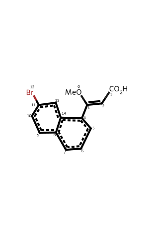 CO/C(=C\C(=O)O)c1cccc2ccc(Br)cc12